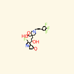 COc1ccc2ncc(CF)c([C@H](O)CCC3(CC(=O)O)CCN(CC#Cc4cc(F)c(F)c(F)c4)CC3)c2c1